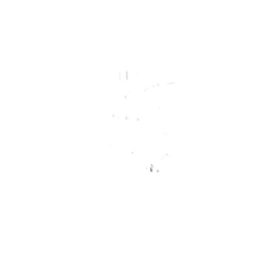 CC(C)(C)OC(=O)c1ccncc1F